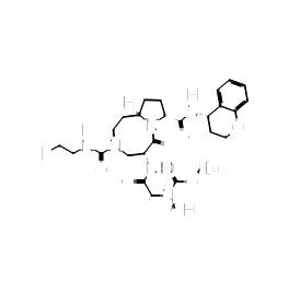 C[C@@H](C(=O)N[C@H]1CN(C(=O)NCCF)CC[C@H]2CC[C@@H](C(=O)N[C@@H]3CCOc4ccccc43)N2C1=O)N(C)C(=O)OC(C)(C)C